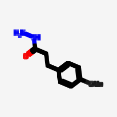 COc1ccc(CCC(=O)NN)cc1